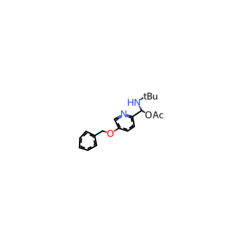 CC(=O)OC(NC(C)(C)C)c1ccc(OCc2ccccc2)cn1